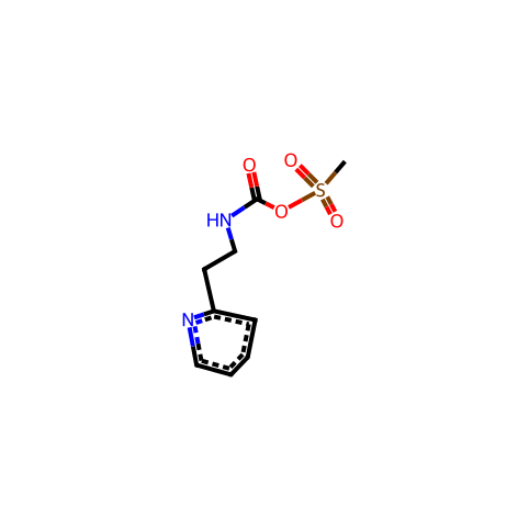 CS(=O)(=O)OC(=O)NCCc1ccccn1